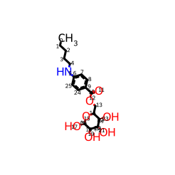 CCCCCNc1ccc(C(=O)OCC2O[C@H](O)C(O)[C@@H](O)[C@@H]2O)cc1